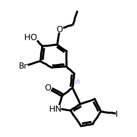 CCOc1cc(/C=C2\C(=O)Nc3ccc(I)cc32)cc(Br)c1O